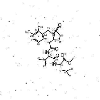 COC(=O)[C@H](CC(C)C)NC(=O)[C@@H](NC(=O)C[C@@H]1CCC(=O)N1Cc1cccc(F)c1F)C(C)C